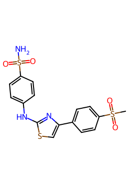 CS(=O)(=O)c1ccc(-c2csc(Nc3ccc(S(N)(=O)=O)cc3)n2)cc1